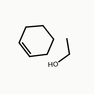 C1=CCCCC1.CCO